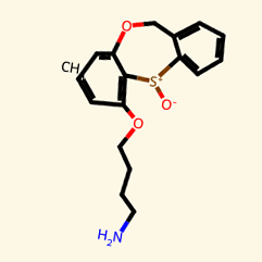 C.NCCCCOc1cccc2c1[S+]([O-])c1ccccc1CO2